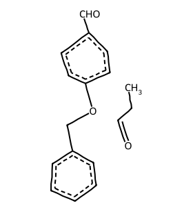 CCC=O.O=Cc1ccc(OCc2ccccc2)cc1